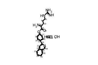 Cl.Cl.Cl.Cl.N=C(N)NCCCC(N)C(=O)Oc1ccc(-c2cc3ccccc3cn2)cc1